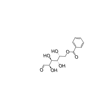 O=C[C@H](O)[C@@H](O)[C@@H](O)[C@H](O)COC(=O)c1ccccc1